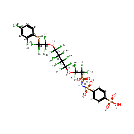 O=S(=O)(O)c1ccc(S(=O)(=O)NS(=O)(=O)C(F)(F)C(F)(F)OC(F)(F)C(F)(F)C(F)(F)C(F)(F)OC(F)(F)C(F)(F)Sc2ccc(Cl)cc2F)cc1